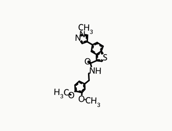 COc1ccc(CCNC(=O)c2csc3ccc(-c4cnn(C)c4)cc23)cc1OC